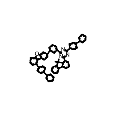 CC1(C)c2ccccc2-c2cccc(-c3nc(-c4ccc(-c5ccccc5)cc4)nc(-c4cccc(-c5ccc6c(c5)oc5cccc(-c7ccc(-c8ccccc8)cc7)c56)c4)n3)c21